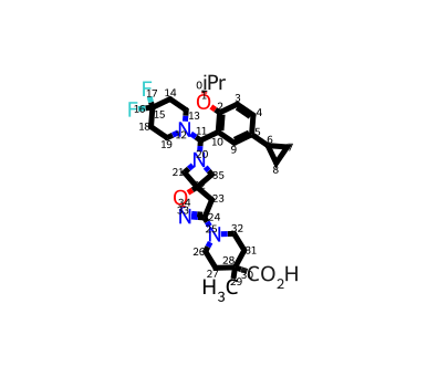 CC(C)Oc1ccc(C2CC2)cc1C(N1CCC(F)(F)CC1)N1CC2(CC(N3CCC(C)(C(=O)O)CC3)=NO2)C1